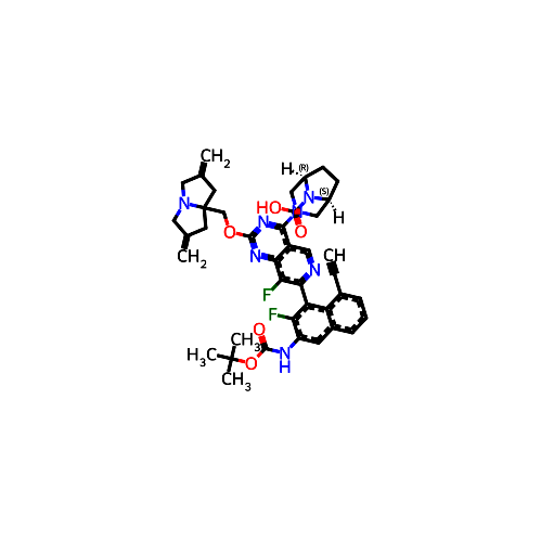 C#Cc1cccc2cc(NC(=O)OC(C)(C)C)c(F)c(-c3ncc4c(N5C[C@H]6CC[C@@H](C5)N6C(=O)O)nc(OCC56CC(=C)CN5CC(=C)C6)nc4c3F)c12